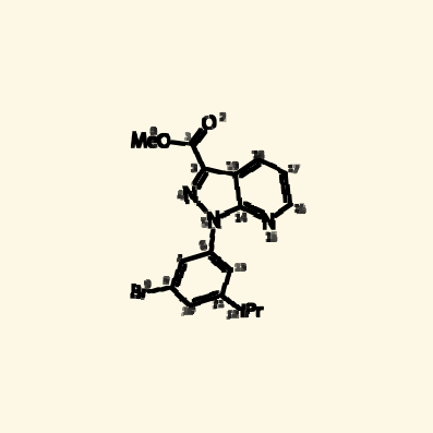 COC(=O)c1nn(-c2cc(Br)cc(C(C)C)c2)c2ncccc12